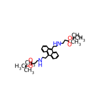 CC(C)(C)OC(=O)CCNCCc1c2ccccc2c(CCNCCC(=O)OC(C)(C)C)c2ccccc12